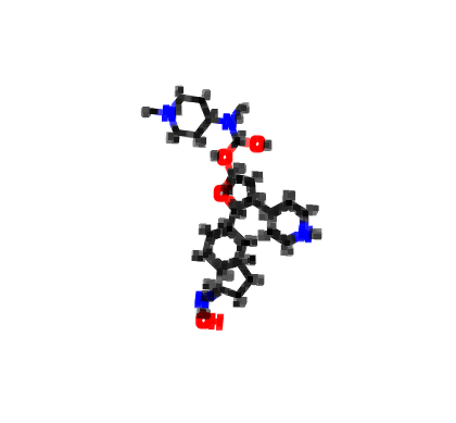 CN1CCC(N(C)C(=O)Oc2cc(-c3ccncc3)c(-c3ccc4c(c3)CCC4=NO)o2)CC1